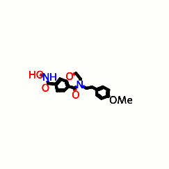 COc1ccc(CCN2CCOc3cc(C(=O)NO)ccc3C2=O)cc1